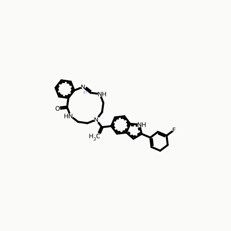 C=C(c1ccc2[nH]c(C3=CCCC(F)=C3)cc2c1)N1CCN/C=N/c2ccccc2C(=O)NCC1